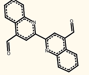 O=Cc1cc(-c2cc(C=O)c3ccccc3n2)nc2ccccc12